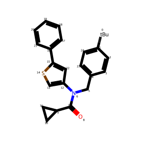 CC(C)(C)c1ccc(CN(C(=O)C2CC2)c2csc(-c3ccccc3)c2)cc1